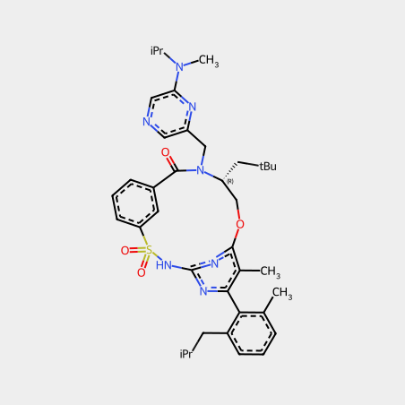 Cc1cccc(CC(C)C)c1-c1nc2nc(c1C)OC[C@@H](CC(C)(C)C)N(Cc1cncc(N(C)C(C)C)n1)C(=O)c1cccc(c1)S(=O)(=O)N2